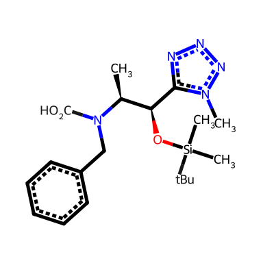 C[C@@H]([C@H](O[Si](C)(C)C(C)(C)C)c1nnnn1C)N(Cc1ccccc1)C(=O)O